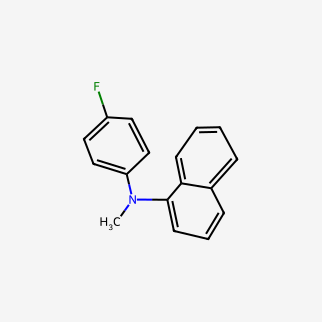 CN(c1ccc(F)cc1)c1cccc2ccccc12